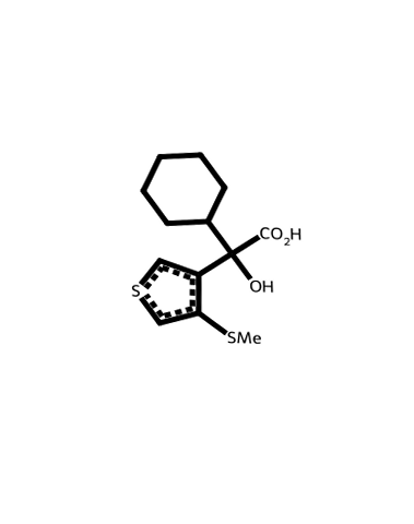 CSc1cscc1C(O)(C(=O)O)C1CCCCC1